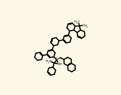 CC1(C)C2C=CCC(C3=CC(C4CC=CC(C5=CC(C6=CCCCC6)=CC([C@]6(CC7CCC8=C(CCCC8)C7)NC6(N)C6CC=CCC6)C5)C4)=CCC3)C2C2C=CCCC21